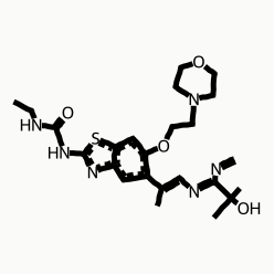 C=N/C(=N\C=C(/C)c1cc2nc(NC(=O)NCC)sc2cc1OCCN1CCOCC1)C(C)(C)O